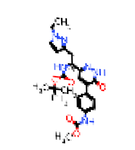 CCn1ccc(C[C@H](NC(=O)OC(C)(C)C)c2cc(-c3ccc(NC(=O)OC)cc3)c(=O)[nH]n2)n1